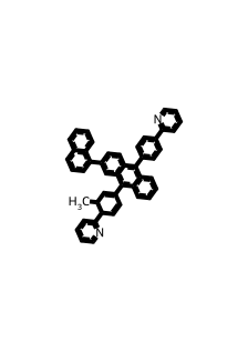 CC1C=C(c2c3ccccc3c(-c3ccc(-c4ccccn4)cc3)c3ccc(-c4cccc5ccccc45)cc23)C=CC1c1ccccn1